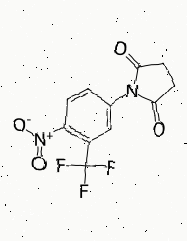 O=C1CCC(=O)N1c1ccc([N+](=O)[O-])c(C(F)(F)F)c1